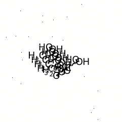 C(OCC1CO1)C1CO1.C=CC(=O)O.CCCCCC(O)O.CCCCCC(O)O.CCCCCC(O)O.CCCCCC(O)O.CCCCCC(O)O